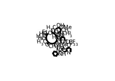 CC[C@H]1OC(=O)[C@H](C)[C@@H](O[C@H]2C[C@@](C)(OC)[C@@H](O)[C@H](C)O2)C(C)[C@@H](O[C@@H]2O[C@H](C)C[C@H](N(C)C)[C@H]2O)[C@](C)(OC)C[C@@H](C)C(=O)[C@H](C)[C@@H](O)[C@]1(C)O.Cc1c(OCC(F)(F)F)ccnc1C[S+]([O-])c1nc2ccccc2[nH]1